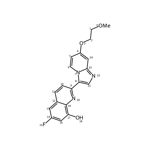 COCCOc1ccn2c(-c3ccc4cc(F)cc(O)c4n3)cnc2c1